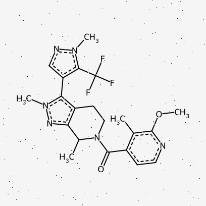 COc1nccc(C(=O)N2CCc3c(nn(C)c3-c3cnn(C)c3C(F)(F)F)C2C)c1C